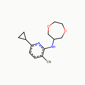 N#Cc1ccc(C2CC2)nc1NC1COCCOC1